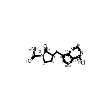 NC(=O)N1CC[C](Cc2csc3c(Cl)ncnc23)C1=O